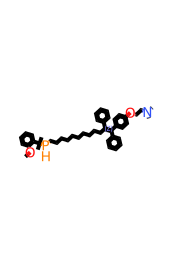 COc1ccccc1C(C)(C)PCCCCCCCCCC/C(=C(\c1ccccc1)c1ccc(OCCN(C)C)cc1)c1ccccc1